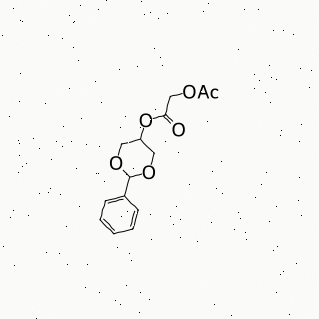 CC(=O)OCC(=O)OC1COC(c2ccccc2)OC1